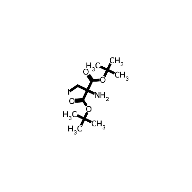 CC(C)(C)OC(=O)C(N)(CI)C(=O)OC(C)(C)C